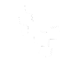 C=Cc1ccc([SiH2]C2C=c3ccccc3=c3ccccc3=C2)cc1